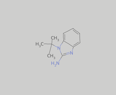 CC(C)(C)n1c(N)nc2ccccc21